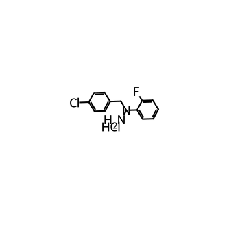 Cl.NN(Cc1ccc(Cl)cc1)c1ccccc1F